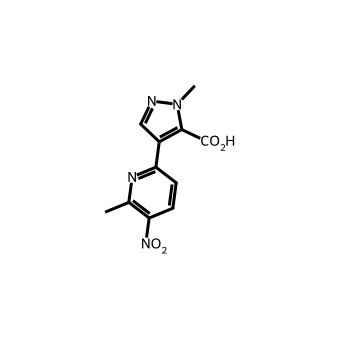 Cc1nc(-c2cnn(C)c2C(=O)O)ccc1[N+](=O)[O-]